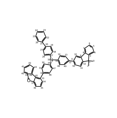 CC1(C)c2ccccc2-c2cc(-c3ccc(N(c4ccc(-c5ccccc5)cc4)c4ccc(-c5cccc6oc7ccccc7c56)cc4)cc3)ccc21